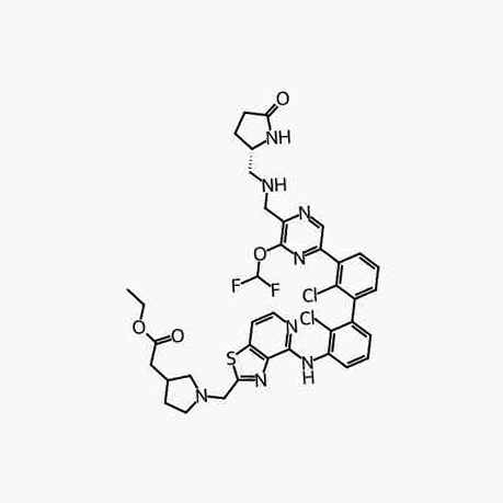 CCOC(=O)CC1CCN(Cc2nc3c(Nc4cccc(-c5cccc(-c6cnc(CNC[C@@H]7CCC(=O)N7)c(OC(F)F)n6)c5Cl)c4Cl)nccc3s2)C1